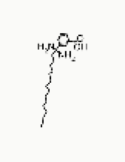 CCCCCCCCCCCCCCCC(N)(N)c1cccc(C(=O)O)c1